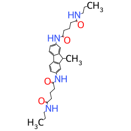 CCCNC(=O)CCCC(=O)Nc1ccc2c(c1)C(C)c1cc(NC(=O)CCCC(=O)NCCC)ccc1-2